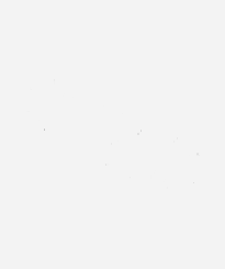 O=C(O)C(Oc1ccccc1)c1ccc2ccccc2c1